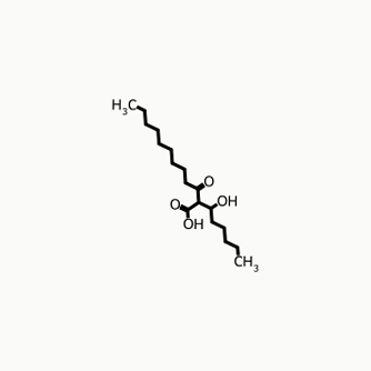 CCCCCCCCCC(=O)C(C(=O)O)C(O)CCCCC